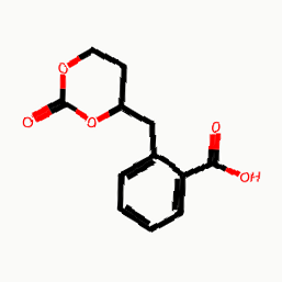 O=C1OCCC(Cc2ccccc2C(=O)O)O1